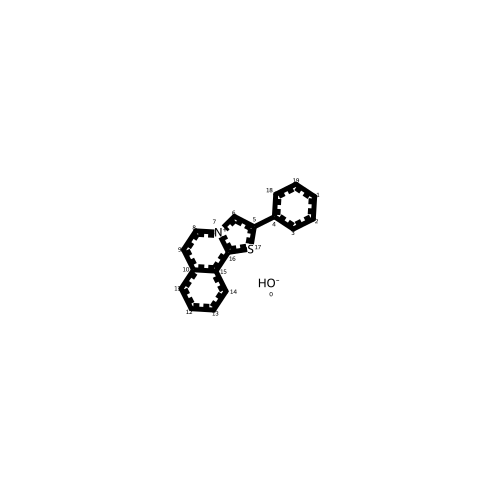 [OH-].c1ccc(-c2c[n+]3ccc4ccccc4c3s2)cc1